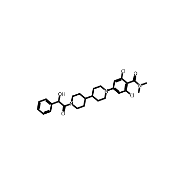 CN(C)C(=O)c1c(Cl)cc(N2CCC(C3CCN(C(=O)C(O)c4ccccc4)CC3)CC2)cc1Cl